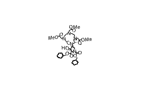 COC(=O)CN1CCN(CC(=O)OC)CCN([C@@H]2CN(C(=O)OCc3ccccc3)[C@H](C(=O)OCc3ccccc3)[C@H]2O)CCN(CC(=O)OC)CC1